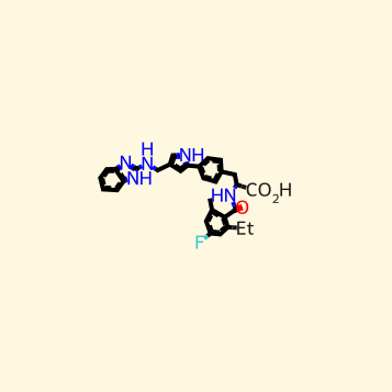 CCc1cc(F)cc(C)c1C(=O)NC(Cc1ccc(-c2cc(CNc3nc4ccccc4[nH]3)c[nH]2)cc1)C(=O)O